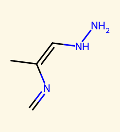 C=N/C(C)=C\NN